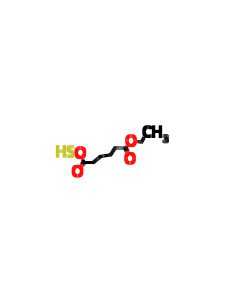 CCOC(=O)CCCCC(=O)OS